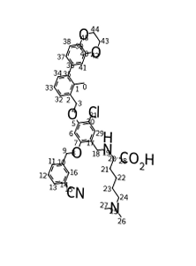 Cc1c(COc2cc(OCc3cccc(C#N)c3)c(CN[C@@H](CCCCN(C)C)C(=O)O)cc2Cl)cccc1-c1ccc2c(c1)OCCO2